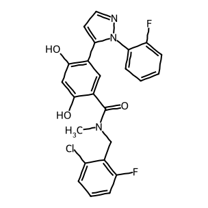 CN(Cc1c(F)cccc1Cl)C(=O)c1cc(-c2ccnn2-c2ccccc2F)c(O)cc1O